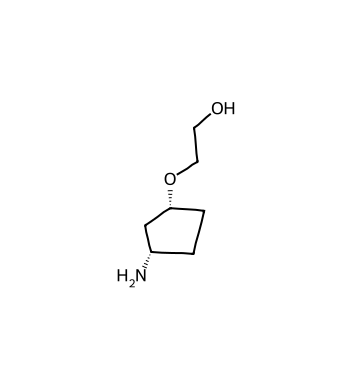 N[C@H]1CC[C@@H](OCCO)C1